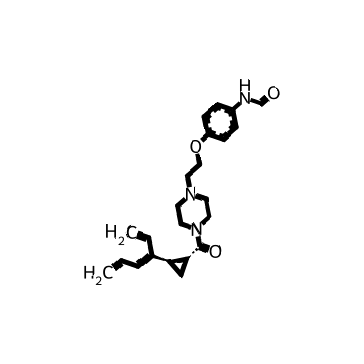 C=C/C=C(\C=C)[C@@H]1C[C@H]1C(=O)N1CCN(CCOc2ccc(NC=O)cc2)CC1